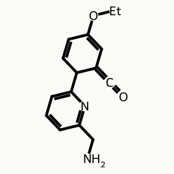 CCOC1=CC(=C=O)C(c2cccc(CN)n2)C=C1